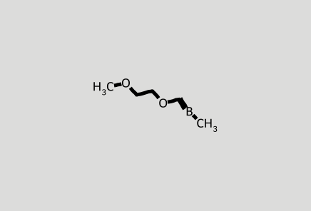 C/B=C/OCCOC